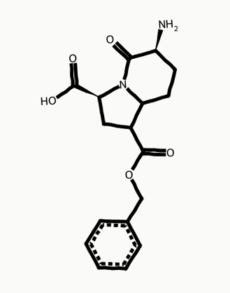 N[C@H]1CCC2C(C(=O)OCc3ccccc3)C[C@@H](C(=O)O)N2C1=O